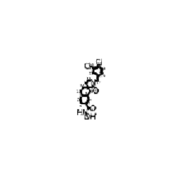 O=C(NO)c1ccc2c(c1)CC1(CC2)CCN(Cc2ccc(Cl)c(Cl)c2)C1=O